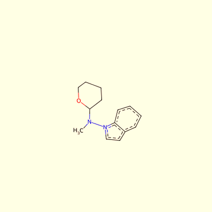 CN(C1CCCCO1)n1ccc2ccccc21